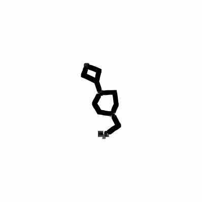 CCN1CCN(C2COC2)CC1